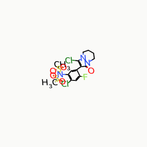 CS(=O)(=O)N(c1cc(-c2c(Cl)n3n(c2=O)CCCC3)c(F)cc1Cl)S(C)(=O)=O